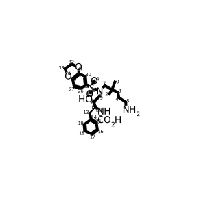 CC(C)(CCCN)CN(C[C@H](O)[C@H](Cc1ccccc1)NC(=O)O)S(=O)(=O)c1ccc2c(c1)OCCO2